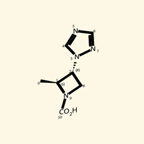 C[C@H]1[C@H](n2cncn2)CN1C(=O)O